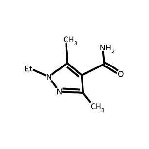 CCn1nc(C)c(C(N)=O)c1C